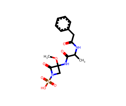 COC1(NC(=O)C(C)NC(=O)Cc2ccccc2)CN(S(=O)(=O)O)C1=O